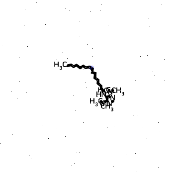 CCCCCCCC/C=C\CCCCCCCC(=O)Nc1c(N(C)C)ncnc1N(C)C